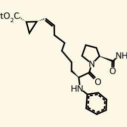 CCOC(=O)[C@H]1C[C@H]1/C=C\CCCCC[C@H](Nc1ccccc1)C(=O)N1CCC[C@H]1C(N)=O